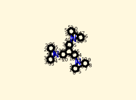 c1ccc2c(c1)c1ccccc1n2-c1ccc2c(c1)c1ccc(-n3c4ccccc4c4ccccc43)cc1c1ccc(-n3c4ccccc4c4ccccc43)cc21